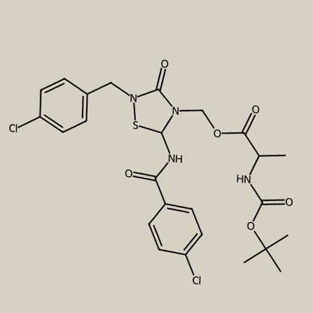 CC(NC(=O)OC(C)(C)C)C(=O)OCN1C(=O)N(Cc2ccc(Cl)cc2)SC1NC(=O)c1ccc(Cl)cc1